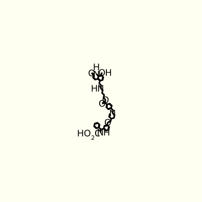 O=C(O)NC(c1ccccc1)c1cccc(OCC2CCN(Cc3ccc(C(=O)OCCCCNCCc4ccc(O)c5[nH]c(=O)ccc45)cc3)CC2)c1